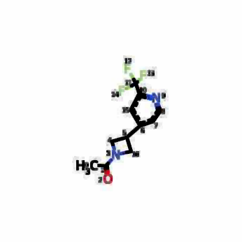 CC(=O)N1CC(c2ccnc(C(F)(F)F)c2)C1